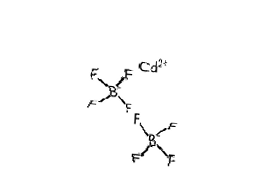 F[B-](F)(F)F.F[B-](F)(F)F.[Cd+2]